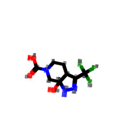 O=C(O)N1CCC2C(C(F)(F)F)=NNC2(O)C1